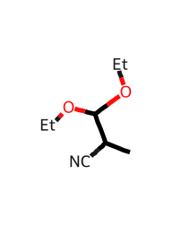 CCOC(OCC)C(C)C#N